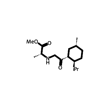 COC(=O)[C@@H](C)NCC(=O)[C@@H]1C[C@H](C)CC[C@H]1C(C)C